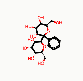 OC[C@H]1OC(c2cc[c]cc2)(C2O[C@H](CO)[C@H](O)[C@H](O)[C@H]2O)[C@H](O)[C@@H](O)[C@H]1O